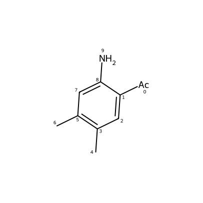 CC(=O)c1cc(C)c(C)cc1N